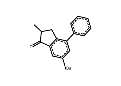 CC1Cc2c(cc(C(C)(C)C)cc2-c2ccccc2)C1=O